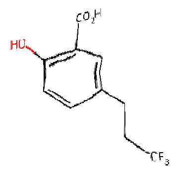 O=C(O)c1cc(CCC(F)(F)F)ccc1O